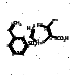 C=CS(=O)(=O)O.C=Cc1ccccc1.O=C(O)C(F)=C(F)F